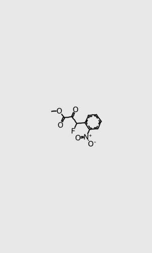 COC(=O)C(=O)C(F)c1ccccc1[N+](=O)[O-]